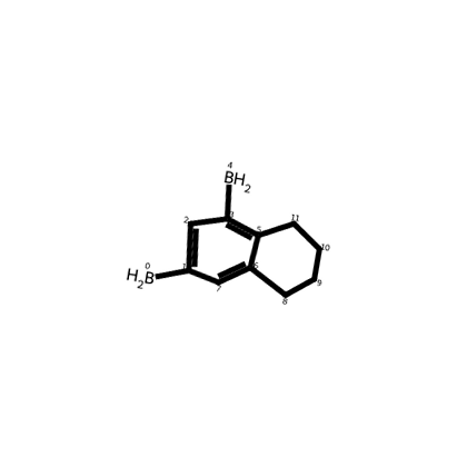 Bc1cc(B)c2c(c1)CCCC2